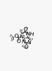 C=C(C)OC(=O)N1c2nc(OC)ncc2NC(=O)C1C